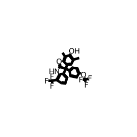 Cc1cc(C2(c3ccc(OC(F)(F)F)cc3)C(=O)Nc3c(C(F)(F)F)cccc32)cc(C)c1O